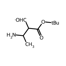 CC(N)C([C]=O)C(=O)OC(C)(C)C